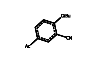 CC(=O)c1ccc(OCC(C)C)c(C#N)c1